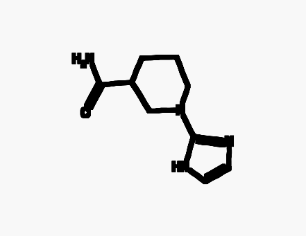 NC(=O)C1CCCN(c2ncc[nH]2)C1